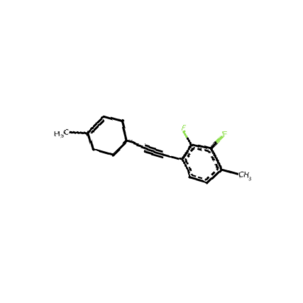 CC1=CCC(C#Cc2ccc(C)c(F)c2F)CC1